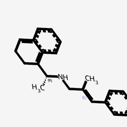 C/C(=C\c1ccccc1)CN[C@H](C)C1=c2ccccc2=CCC1